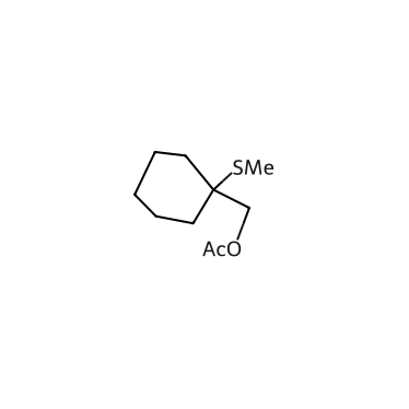 CSC1(COC(C)=O)CCCCC1